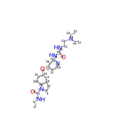 CCNC(=O)n1ccc2cc(Oc3ccnc(NC(=O)NCCN(CC)CC)c3)ccc21